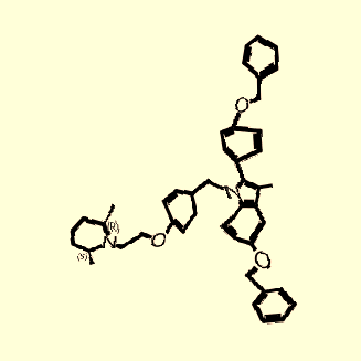 Cc1c(-c2ccc(OCc3ccccc3)cc2)n(CC2C=CC(OCCN3[C@H](C)CCC[C@@H]3C)=CC2)c2ccc(OCc3ccccc3)cc12